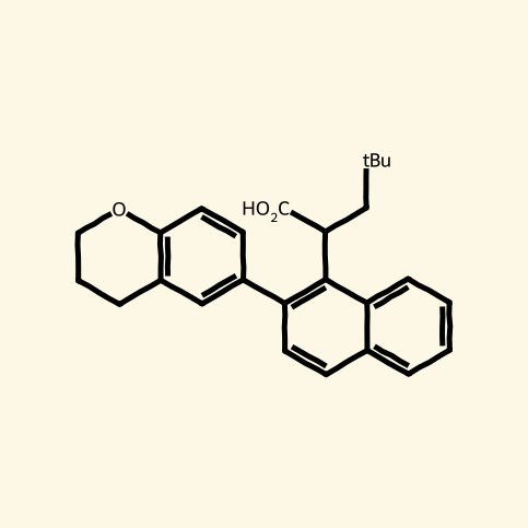 CC(C)(C)CC(C(=O)O)c1c(-c2ccc3c(c2)CCCO3)ccc2ccccc12